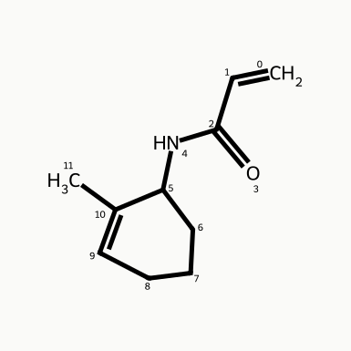 C=CC(=O)NC1CCCC=C1C